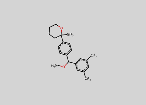 Cc1cc(C)cc(C(O[SiH3])c2ccc(C3([SiH3])CCCCO3)cc2)c1